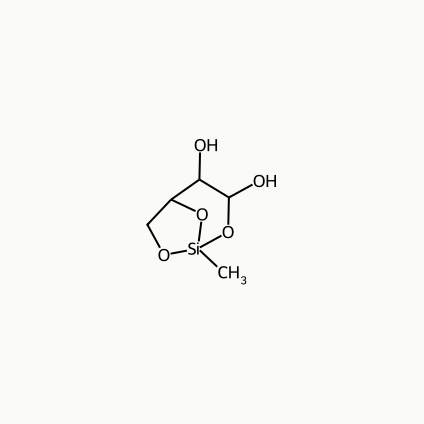 C[Si]12OCC(O1)C(O)C(O)O2